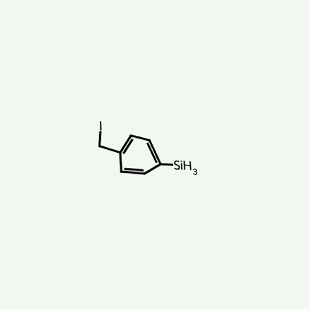 [SiH3]c1ccc(CI)cc1